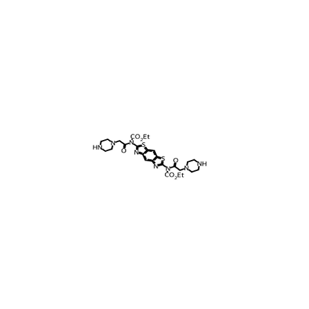 CCOC(=O)N(C(=O)CN1CCNCC1)c1nc2cc3nc(N(C(=O)CN4CCNCC4)C(=O)OCC)sc3cc2s1